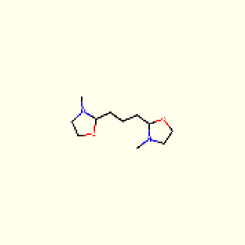 CN1CCOC1CCCC1OCCN1C